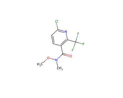 CON(C)C(=O)c1ccc(Cl)nc1C(F)(F)F